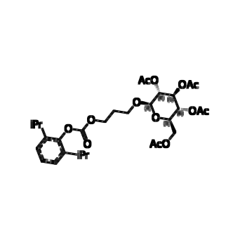 CC(=O)OC[C@H]1O[C@@H](OCCCOC(=O)Oc2c(C(C)C)cccc2C(C)C)[C@H](OC(C)=O)[C@@H](OC(C)=O)[C@@H]1OC(C)=O